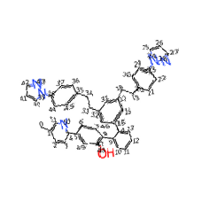 Cc1ccc(-c2ccc(-c3ccccc3-c3cc(CCc4ccc(-n5cccn5)cc4)cc(CCc4ccc(-n5cccn5)cc4)c3)c(O)c2)nc1